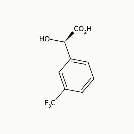 O=C(O)[C@H](O)c1cccc(C(F)(F)F)c1